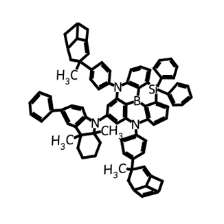 CC1(c2ccc(N3c4cc(N5c6ccc(-c7ccccc7)cc6C6(C)CCCCC56C)cc5c4B4c6c3cccc6[Si](c3ccccc3)(c3ccccc3)c3cccc(c34)N5c3ccc(C4(C)C=C5CC6CC(C4)C56)cc3)cc2)C=C2CC3=CC(C1)C32